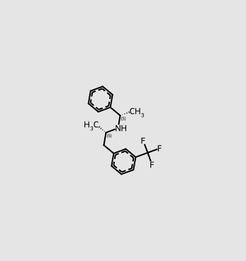 C[C@H](N[C@@H](C)Cc1cccc(C(F)(F)F)c1)c1ccccc1